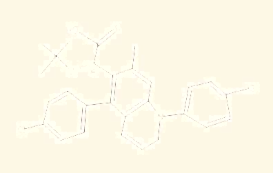 Cc1cc2c(c(-c3ccc(Cl)cc3)c1[C@H](OC(C)(C)C)C(=O)O)C=CCN2c1ccc(Cl)cc1